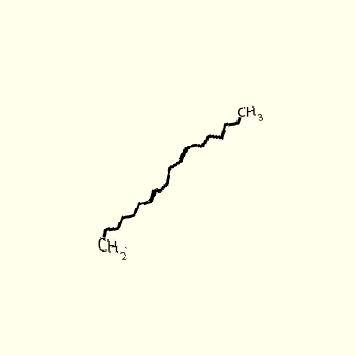 [CH2]CCCCCC=CCCC=CCCCCCC